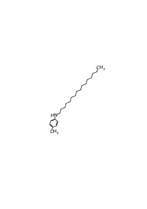 CCCCCCCCCCCCCCCCNc1ccc(C)cc1